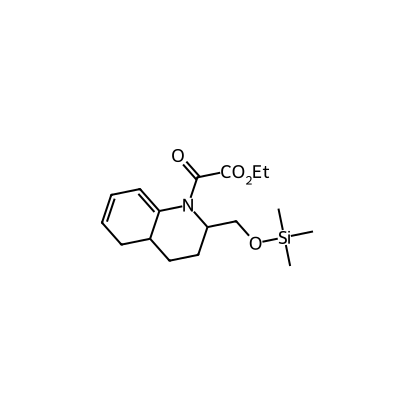 CCOC(=O)C(=O)N1C2=CC=CCC2CCC1CO[Si](C)(C)C